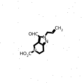 C=CCn1nc2c(c1C=O)CN(C(=O)O)CC2